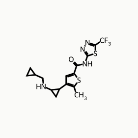 Cc1sc(C(=O)Nc2nnc(C(F)(F)F)s2)cc1C1CC1NCC1CC1